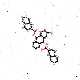 O=C(Oc1c2ccccc2c(OC(=O)c2ccc3ccccc3c2)c2cc(Br)ccc12)c1ccc2ccccc2c1